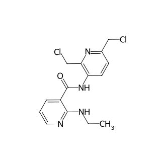 CCNc1ncccc1C(=O)Nc1ccc(CCl)nc1CCl